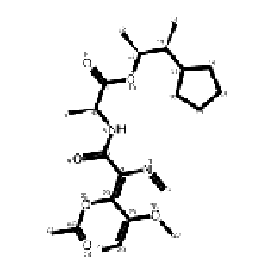 C=N/C(C(=O)N[C@@H](C)C(=O)O[C@@H](C)[C@@H](C)C1CCCC1)=C(OC(C)=O)\C(=C/C)OC